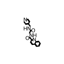 O=C(CNC(=O)c1ccc2ccccc2n1)NCc1ccncc1